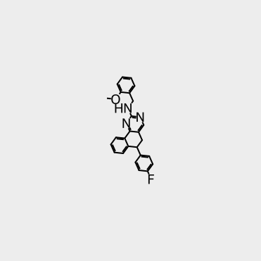 COc1ccccc1CNc1ncc2c(n1)-c1ccccc1C(c1ccc(F)cc1)C2